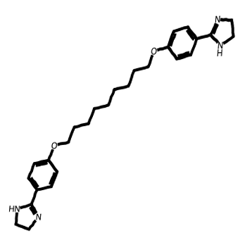 c1cc(C2=NCCN2)ccc1OCCCCCCCCCOc1ccc(C2=NCCN2)cc1